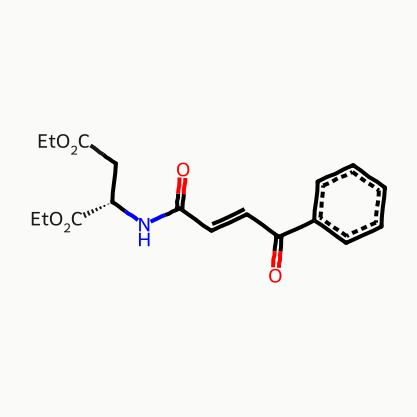 CCOC(=O)C[C@H](NC(=O)C=CC(=O)c1ccccc1)C(=O)OCC